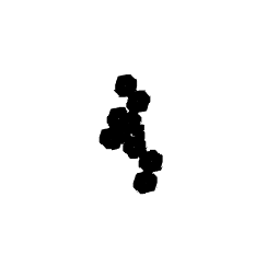 c1ccc(-c2cccc(-c3ccc4c(c3)sc3cc(-c5cccc(-c6ccccc6)c5)c5cccc6c7ccccc7n4-c3c56)c2)cc1